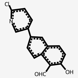 O=Cc1c(O)ccc2cc(-c3ccc(Cl)nc3)ccc12